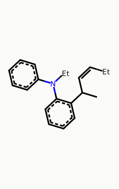 CC/C=C\C(C)c1ccccc1N(CC)c1ccccc1